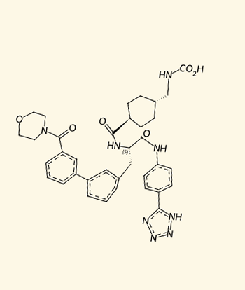 O=C(O)NC[C@H]1CC[C@H](C(=O)N[C@@H](Cc2cccc(-c3cccc(C(=O)N4CCOCC4)c3)c2)C(=O)Nc2ccc(-c3nnn[nH]3)cc2)CC1